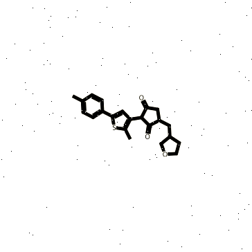 Cc1ccc(-c2cc(C3C(=O)CC(CC4CCOC4)C3=O)c(C)s2)cc1